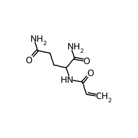 C=CC(=O)NC(CCC(N)=O)C(N)=O